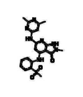 Cc1cc(Nc2cc(Nc3ccccc3S(C)(=O)=O)c3c(=O)n(C)[nH]c3n2)nc(C)n1